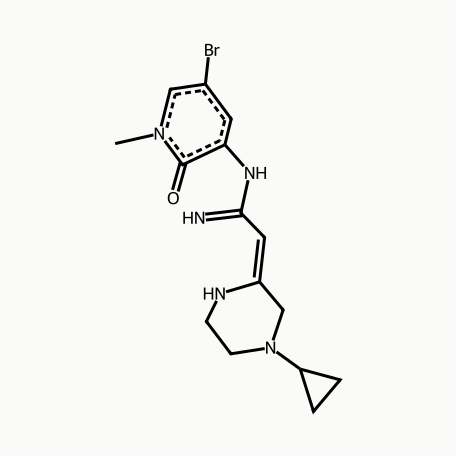 Cn1cc(Br)cc(NC(=N)/C=C2/CN(C3CC3)CCN2)c1=O